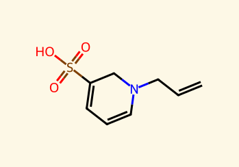 C=CCN1C=CC=C(S(=O)(=O)O)C1